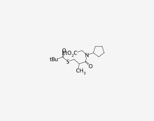 CCOC(=O)CN(C(=O)C(C)CSC(=O)C(C)(C)C)C1CCCC1